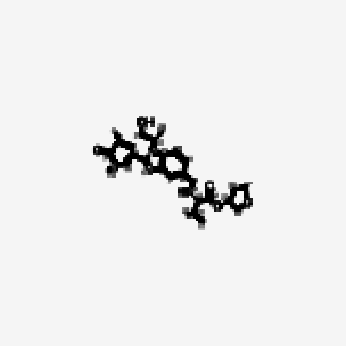 Cc1cc(-c2nc3cc(CN[C@H](C(=O)O[C@H]4CCOC4)C(C)C)ccc3n2[C@H](C)CO)cn(C)c1=O